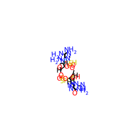 Nc1nc2c(nnn2[C@@H]2S[C@@H]3COP(=O)(S)O[C@@H]4[C@@H](COP(=O)(S)O[C@@H]2[C@@H]3O)OC[C@]4(F)N(N)c2ncnc(N)c2N)c(=O)[nH]1